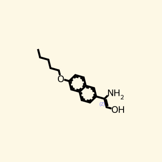 CCCCCOc1ccc2cc(/C(N)=C/O)ccc2c1